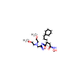 COCCN(CCOC)Cc1noc([C@H](CCCC2CCCCC2)CC(=O)NO)n1